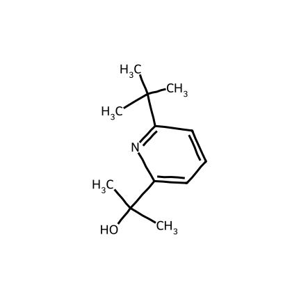 CC(C)(C)c1cccc(C(C)(C)O)n1